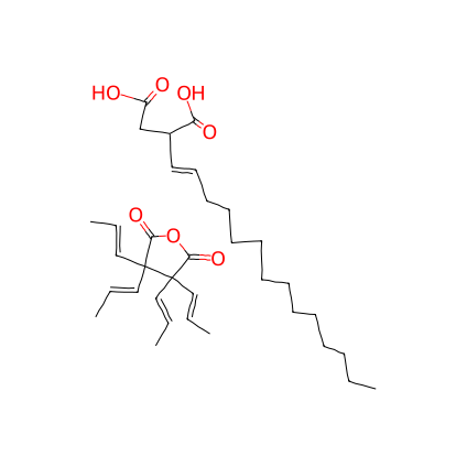 CC=CC1(C=CC)C(=O)OC(=O)C1(C=CC)C=CC.CCCCCCCCCCCCC=CC(CC(=O)O)C(=O)O